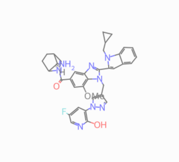 COc1cc(C(=O)N2CC3CCC2[C@@H]3N)cc2nc(-c3cc4ccccc4n3CC3CC3)n(Cc3cnn(-c4cc(F)cnc4O)c3)c12